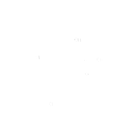 CC(=O)[C@@H](C)Cc1ccc(Cl)cc1Cl